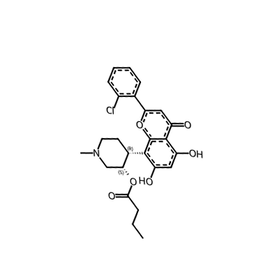 CCCC(=O)O[C@@H]1CN(C)CC[C@@H]1c1c(O)cc(O)c2c(=O)cc(-c3ccccc3Cl)oc12